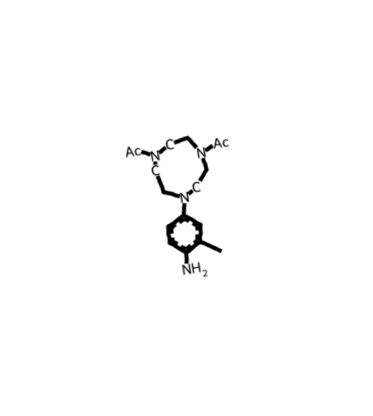 CC(=O)N1CCN(C(C)=O)CCN(c2ccc(N)c(C)c2)CC1